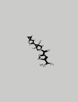 CC(C)c1cc(C(=O)N2C[C@@H]3C(C4=NOC5(CC5)C4)[C@@H]3C2)n[nH]1